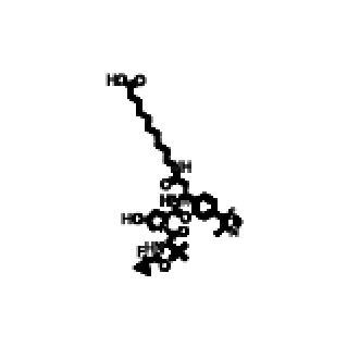 Cc1ncsc1-c1ccc([C@H](CC(=O)NCCCCCCCCCC(=O)O)NC(=O)[C@@H]2C[C@@H](O)CN2C(=O)[C@@H](NC(=O)C2(F)CC2)C(C)(C)C)cc1